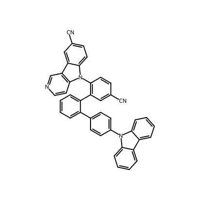 N#Cc1ccc(-n2c3ccncc3c3cc(C#N)ccc32)c(-c2ccccc2-c2ccc(-n3c4ccccc4c4ccccc43)cc2)c1